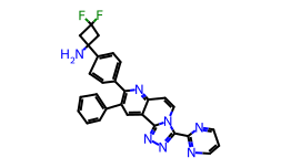 NC1(c2ccc(-c3nc4ccn5c(-c6ncccn6)nnc5c4cc3-c3ccccc3)cc2)CC(F)(F)C1